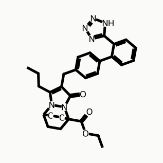 CCCc1c(Cc2ccc(-c3ccccc3-c3nnn[nH]3)cc2)c(=O)n2n1C1CCC2(C(=O)OCC)CC1